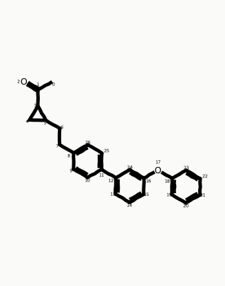 CC(=O)C1CC1CCc1ccc(-c2cccc(Oc3ccccc3)c2)cc1